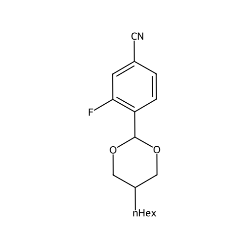 CCCCCCC1COC(c2ccc(C#N)cc2F)OC1